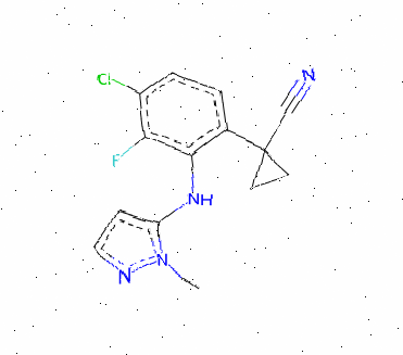 Cn1nccc1Nc1c(C2(C#N)CC2)ccc(Cl)c1F